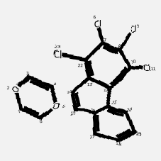 C1=COC=CO1.Clc1c(Cl)c(Cl)c2c(ccc3ccccc32)c1Cl